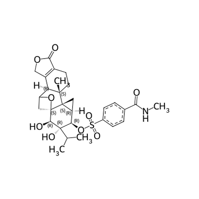 CNC(=O)c1ccc(S(=O)(=O)O[C@@H]2[C@@H]3C[C@@]34[C@@]3(C)CCC5=C(COC5=O)[C@@H]3C3C[C@@]4(O3)[C@H](O)[C@]2(O)C(C)C)cc1